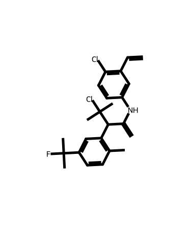 C=Cc1cc(NC(=C)C(c2cc(C(C)(C)F)ccc2C)C(C)(C)Cl)ccc1Cl